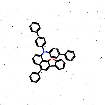 c1ccc(-c2ccc(N(c3ccc(-c4ccccc4)cc3)c3cccc4c(-c5ccccc5)cc5c6ccccc6oc5c34)cc2)cc1